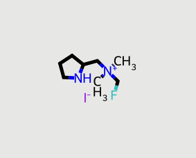 C[N+](C)(CF)CC1CCCN1.[I-]